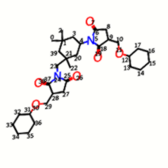 CC1(C)CC(N2C(=O)CC(COC3CCCCC3)C2=O)CC(C)(CN2C(=O)CC(COC3CCCCC3)C2=O)C1